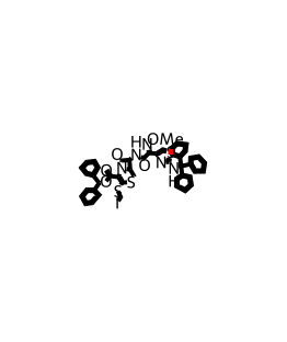 CON=C(C(=O)NC1C(=O)N2C(C(=O)OC(c3ccccc3)c3ccccc3)=C(SCI)SCC12)c1csc(NC(c2ccccc2)(c2ccccc2)c2ccccc2)n1